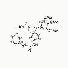 COc1cc(C(CNCC=O)c2ccc(NC(=O)OCc3ccccc3)cc2)cc(OC)c1OC